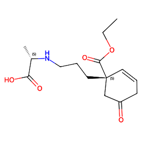 CCOC(=O)[C@]1(CCCN[C@@H](C)C(=O)O)C=CCC(=O)C1